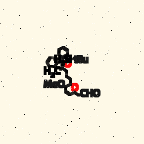 C=C(CCCC1OC(CC=O)C=CC1OC)C(O[SiH2]C(C)(C)C)(c1ccccc1)c1ccccc1